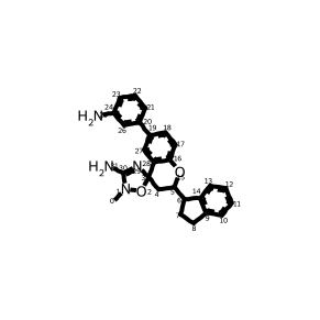 CN1OC2(CC(C3CCc4ccccc43)Oc3ccc(-c4cccc(N)c4)cc32)N=C1N